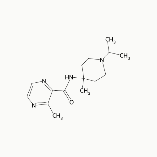 Cc1nccnc1C(=O)NC1(C)CCN(C(C)C)CC1